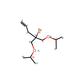 C=CCC(Br)(COC(C)C)COC(C)C